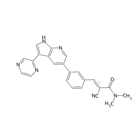 CN(C)C(=O)/C(C#N)=C/c1cccc(-c2cnc3[nH]cc(-c4cnccn4)c3c2)c1